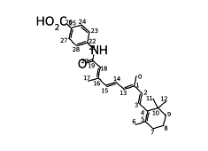 CC(C=CC1=C(C)CCCC1(C)C)=CC=CC(C)=CC(=O)Nc1ccc(C(=O)O)cc1